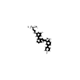 CN(C)CCNc1cc(F)cc(-c2nccc3[nH]c(-c4n[nH]c5ccc(C6=CCNCC6)cc45)cc23)c1